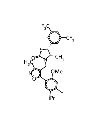 COc1cc(F)c(C(C)C)cc1-c1onc(C)c1CN1C(=O)S[C@H](c2cc(C(F)(F)F)cc(C(F)(F)F)c2)[C@@H]1C